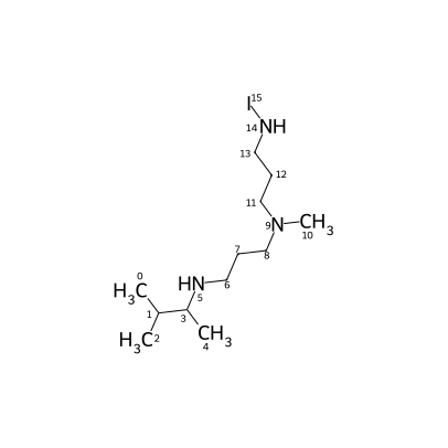 CC(C)C(C)NCCCN(C)CCCNI